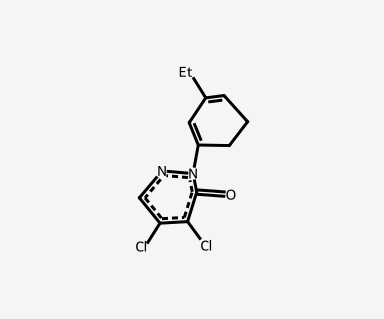 CCC1=CCCC(n2ncc(Cl)c(Cl)c2=O)=C1